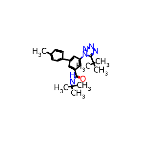 Cc1ccc(-c2cc(C(=O)NC(C)(C)C)cc(-n3nnnc3C(C)(C)C)c2)cc1